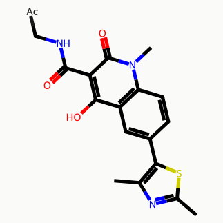 CC(=O)CNC(=O)c1c(O)c2cc(-c3sc(C)nc3C)ccc2n(C)c1=O